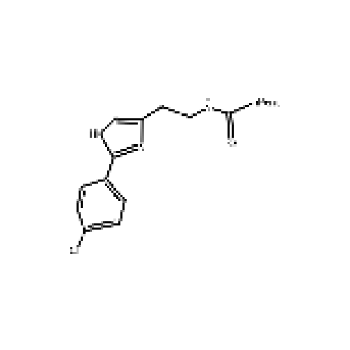 CCCCCC(=O)NCCc1c[nH]c(-c2ccc(Cl)cc2)n1